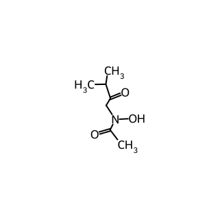 CC(=O)N(O)CC(=O)C(C)C